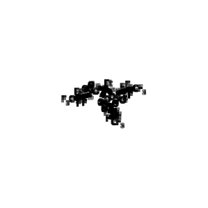 CCC(COS(=O)(=O)CC(F)(F)C(F)(F)C(F)(F)F)(COS(=O)(=O)CC(F)(F)C(F)(F)C(F)(F)F)COS(=O)(=O)CC(F)(F)C(F)(F)C(F)(F)F